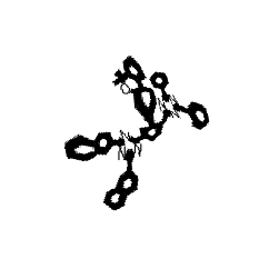 CC1(C)Oc2cc(-c3cc(-c4nc(-c5ccc6ccccc6c5)nc(-c5ccc6ccccc6c5)n4)ccc3-c3nc(-c4ccccc4)nc(-c4ccccc4)n3)ccc2-c2ccccc21